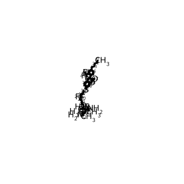 CCCCCc1ccc(-c2cc3ccc(SCCCC(F)(F)CCCOC(=O)C(CC(C)(C)N)C(C)(C)N)cc3oc2=O)c(C(F)(F)F)c1